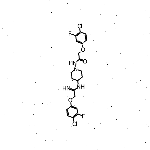 N=C(COc1ccc(Cl)c(F)c1)NC1CCN(NC(=O)COc2ccc(Cl)c(F)c2)CC1